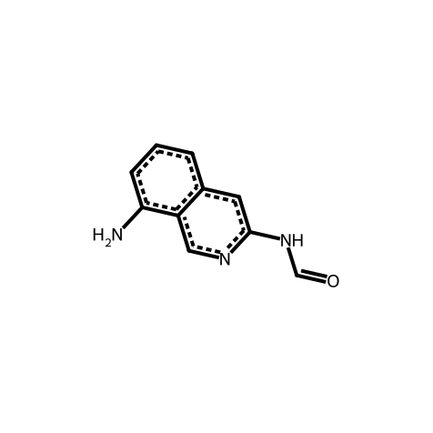 Nc1cccc2cc(NC=O)ncc12